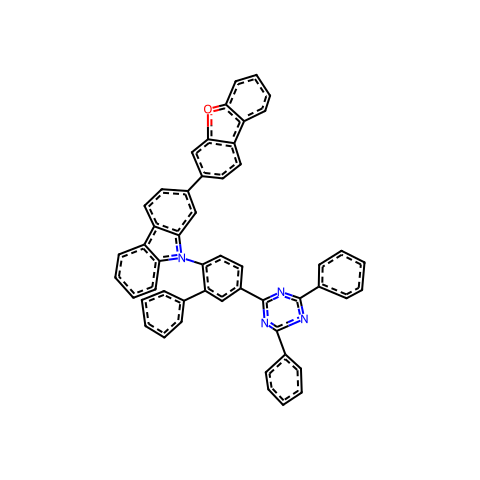 c1ccc(-c2nc(-c3ccccc3)nc(-c3ccc(-n4c5ccccc5c5ccc(-c6ccc7c(c6)oc6ccccc67)cc54)c(-c4ccccc4)c3)n2)cc1